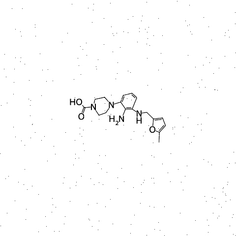 Cc1ccc(CNc2cccc(N3CCN(C(=O)O)CC3)c2N)o1